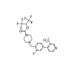 Cc1cnccc1-c1ccc(CN2CCN(C(=O)OC(C(F)(F)F)C(F)(F)F)CC2)c(F)c1